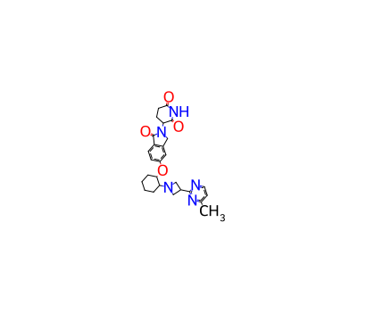 Cc1ccnc(C2CN(C3CCCCC3Oc3ccc4c(c3)CN(C3CCC(=O)NC3=O)C4=O)C2)n1